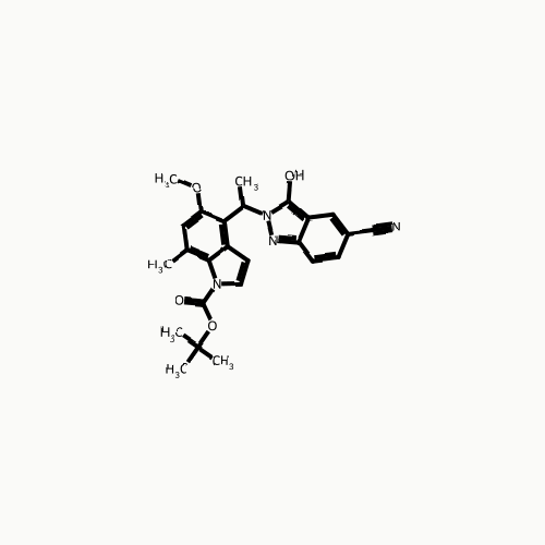 COc1cc(C)c2c(ccn2C(=O)OC(C)(C)C)c1C(C)n1nc2ccc(C#N)cc2c1O